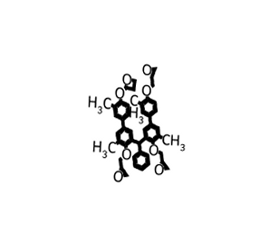 Cc1cc(-c2cc(C)c(OCC3CO3)c(C(c3ccccc3)c3cc(-c4ccc(OC5CCO5)c(C)c4)cc(C)c3OCC3CO3)c2)ccc1OCC1CO1